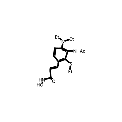 CCSc1c(C=CC(=O)NO)ccc(N(CC)CC)c1NC(C)=O